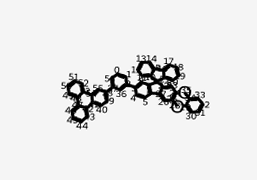 c1cc(-c2ccc3c(c2)C2(c4ccccc4-c4ccccc42)c2cc4c(cc2-3)Oc2ccccc2O4)cc(-c2ccc3c4ccccc4c4ccccc4c3c2)c1